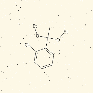 [CH2]C(OCC)(OCC)c1ccccc1Cl